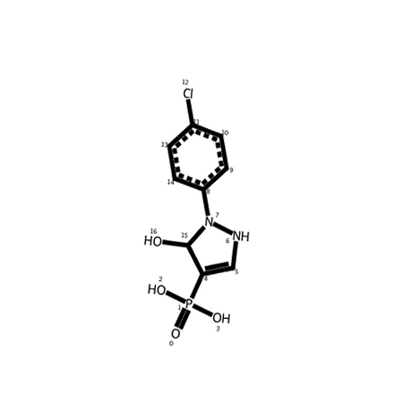 O=P(O)(O)C1=CNN(c2ccc(Cl)cc2)C1O